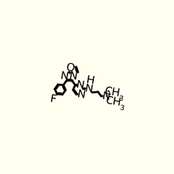 CN(C)CCCNc1nccc(-c2c(-c3ccc(F)cc3)nc3occn23)n1